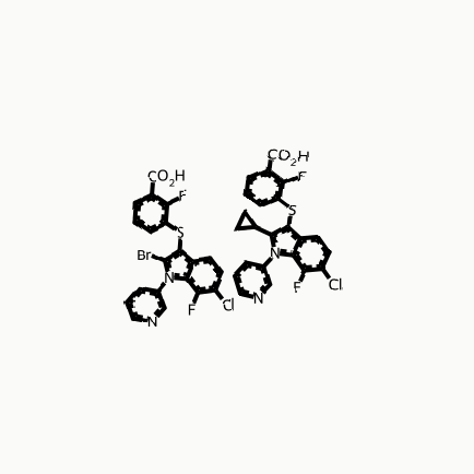 O=C(O)c1cccc(Sc2c(Br)n(-c3cccnc3)c3c(F)c(Cl)ccc23)c1F.O=C(O)c1cccc(Sc2c(C3CC3)n(-c3cccnc3)c3c(F)c(Cl)ccc23)c1F